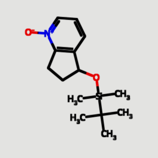 CC(C)(C)[Si](C)(C)OC1CCc2c1ccc[n+]2[O-]